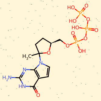 CC1(n2ccc3c(=O)[nH]c(N)nc32)CC[C@@H](COP(=O)(O)OP(=O)(O)OP(=O)(O)O)O1